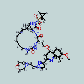 COc1ccc2c(OCC[C@@H]3NC(=O)N(C)CCCC/C=C\[C@@H]4C[C@@]4(C(=O)NS(=O)(=O)C4(C)CC4)NC3=O)cc(-c3ccn(CCN4CCOCC4)n3)nc2c1C